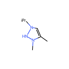 CC1=CN(C(C)C)NN1C